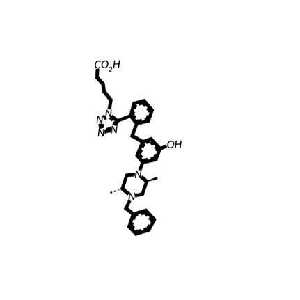 C[C@@H]1CN(c2cc(O)cc(Cc3ccccc3-c3nnnn3CCCCC(=O)O)c2)[C@@H](C)CN1Cc1ccccc1